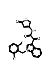 O=C1C=C(NC(=O)C(=O)c2cn(Cc3c(F)cccc3Cl)c3ccccc23)CO1